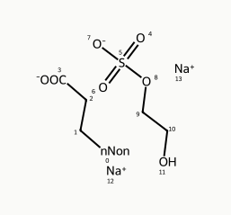 CCCCCCCCCCCC(=O)[O-].O=S(=O)([O-])OCCO.[Na+].[Na+]